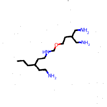 CCCC(CCN)CCNCOCCC(CN)CN